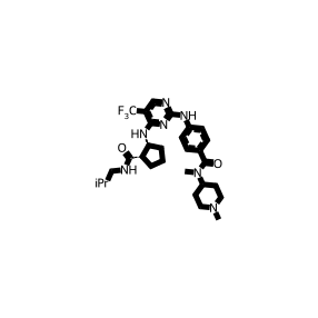 CC(C)CNC(=O)[C@H]1CCC[C@H]1Nc1nc(Nc2ccc(C(=O)N(C)C3CCN(C)CC3)cc2)ncc1C(F)(F)F